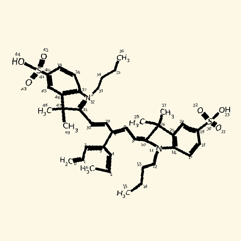 C=C/C=C(\C=C/C)C(=C\C=C1\N(CCCC)c2ccc(S(=O)(=O)O)cc2C1(C)C)/C=C/C1=[N+](CCCC)c2ccc(S(=O)(=O)O)cc2C1(C)C